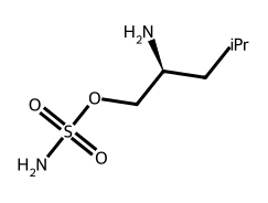 CC(C)C[C@H](N)COS(N)(=O)=O